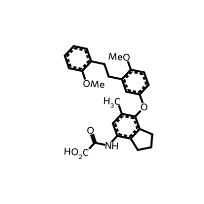 COc1ccccc1CCc1cc(Oc2c(C)cc(NC(=O)C(=O)O)c3c2CCC3)ccc1OC